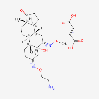 CO/N=C1\C[C@H]2[C@@H]3CCC(=O)[C@@]3(C)CC[C@@H]2[C@@]2(C)CC/C(=N/OCCN)C[C@]12O.O=C(O)/C=C/C(=O)O